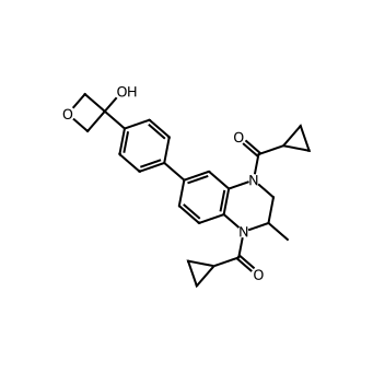 CC1CN(C(=O)C2CC2)c2cc(-c3ccc(C4(O)COC4)cc3)ccc2N1C(=O)C1CC1